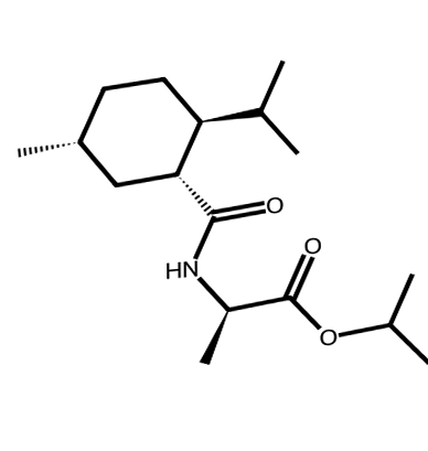 CC(C)OC(=O)[C@@H](C)NC(=O)[C@@H]1C[C@H](C)CC[C@H]1C(C)C